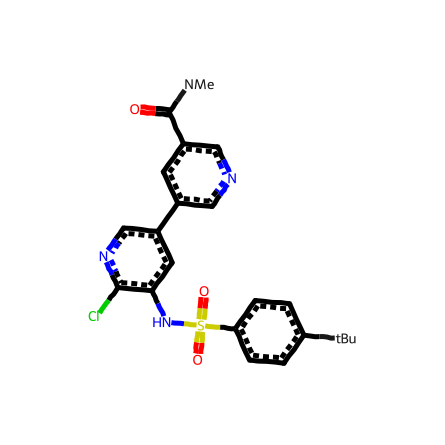 CNC(=O)c1cncc(-c2cnc(Cl)c(NS(=O)(=O)c3ccc(C(C)(C)C)cc3)c2)c1